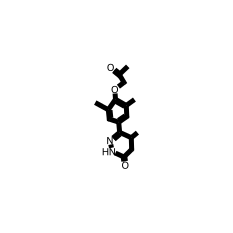 CC(=O)COc1c(C)cc(C2=NNC(=O)CC2C)cc1C